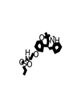 CCCS(=O)(=O)NCCOc1ccc2c(c1)[C@H](Cc1ccccc1)[C@@H](NC)C(C)(C)O2